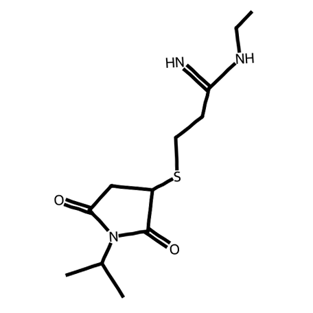 CCNC(=N)CCSC1CC(=O)N(C(C)C)C1=O